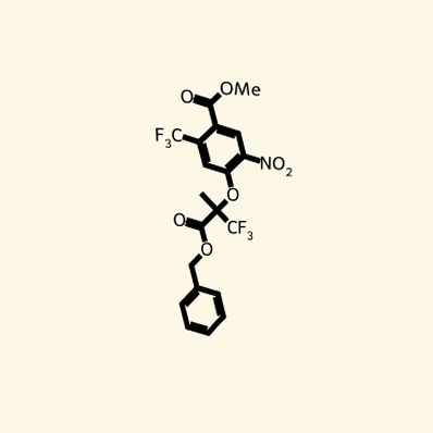 COC(=O)c1cc([N+](=O)[O-])c(OC(C)(C(=O)OCc2ccccc2)C(F)(F)F)cc1C(F)(F)F